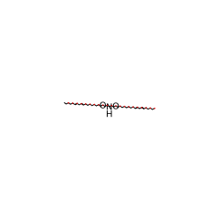 CCCCCC=CCC=CCCCCCCCCOCCNCCOCCCCCCCCC=CCC=CCCCCC